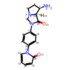 N[C@@H]1CCN2CN(c3ccc(-n4ccccc4=O)cc3)C(=O)[C@H]12